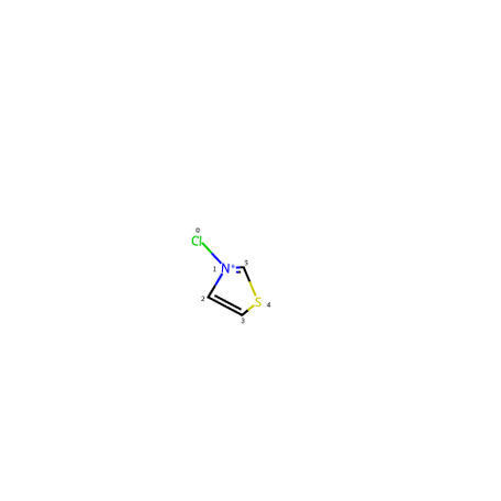 Cl[n+]1ccsc1